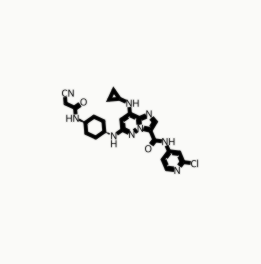 N#CCC(=O)N[C@H]1CC[C@H](Nc2cc(NC3CC3)c3ncc(C(=O)Nc4ccnc(Cl)c4)n3n2)CC1